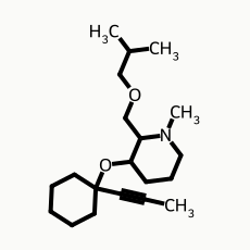 CC#CC1(OC2CCCN(C)C2COCC(C)C)CCCCC1